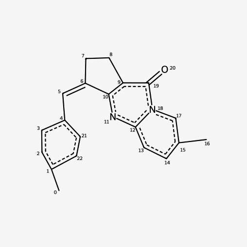 Cc1ccc(/C=C2/CCc3c2nc2ccc(C)cn2c3=O)cc1